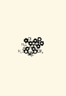 Cc1cccc(C)c1-c1cc2c3c(c1)N(c1ccc4c(c1)C(C)(C)CCC4(C)C)c1cc4c(cc1B3N1c3ccccc3C(c3ccccc3)(c3ccccc3)c3cccc-2c31)C(C)(C)CCC4(C)C